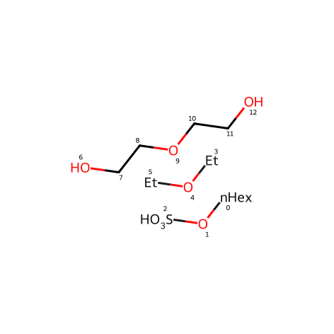 CCCCCCOS(=O)(=O)O.CCOCC.OCCOCCO